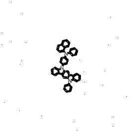 c1ccc(N(c2ccc(-n3c4ccccc4c4cc5c(cc43)c3ccccc3n5-c3ccccc3)cc2)c2cccc3ccccc23)cc1